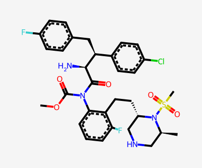 COC(=O)N(C(=O)[C@@H](N)[C@@H](Cc1ccc(F)cc1)c1ccc(Cl)cc1)c1cccc(F)c1CC[C@H]1CNC[C@H](C)N1S(C)(=O)=O